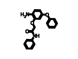 Nc1ccc(Oc2ccccc2)cc1OCC(=O)Nc1ccccc1